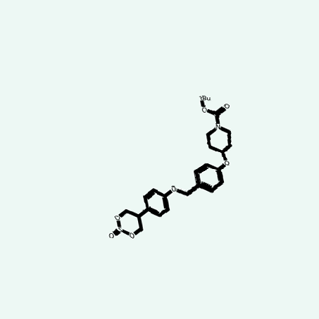 CC(C)(C)OC(=O)N1CCC(Oc2ccc(COc3ccc(C4COS(=O)OC4)cc3)cc2)CC1